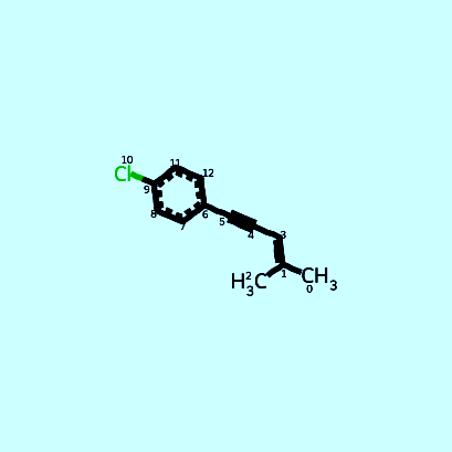 CC(C)=CC#Cc1ccc(Cl)cc1